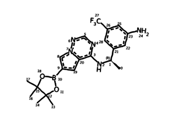 C[C@@H](Nc1ncnn2cc(B3OC(C)(C)C(C)(C)O3)cc12)c1cc(N)cc(C(F)(F)F)c1